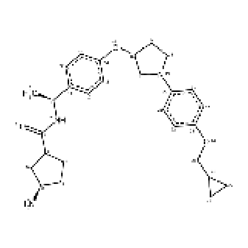 C[C@H](NC(=O)C1CC[C@@H](N)C1)c1ccc(O[C@@H]2CCN(c3ccc(OCC4CC4)cc3)C2)cc1